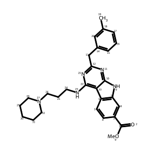 COC(=O)c1ccc2c(c1)[nH]c1nc(Cc3cccc(C)c3)nc(NCCCN3CCCCC3)c12